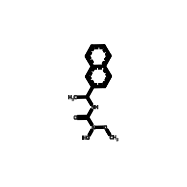 CON(O)C(=O)NC(C)c1ccc2ccccc2c1